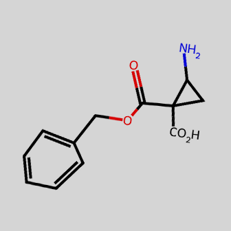 NC1CC1(C(=O)O)C(=O)OCc1ccccc1